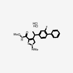 CNN1CC(C(C)c2ccc(-c3ccccc3)c(F)c2)=C(C(=O)NOC)S1.Cl.Cl